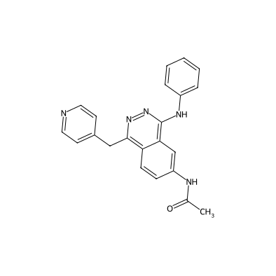 CC(=O)Nc1ccc2c(Cc3ccncc3)nnc(Nc3ccccc3)c2c1